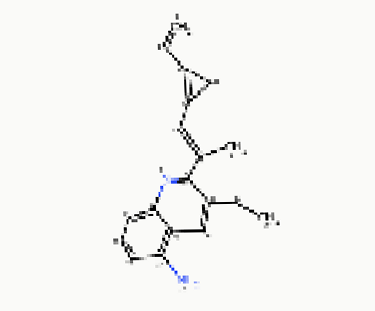 C=CC1=C(/C=C(\C)c2nc3cccc(N)c3cc2CC)C1